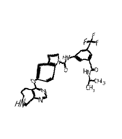 CC(C)NC(=O)c1cc(NC(=O)n2ccc3cc(Oc4ncnc5c4CCNC5)ccc32)cc(C(F)(F)F)c1